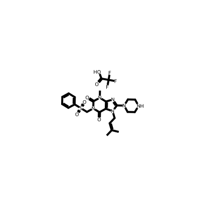 CC(C)=CCn1c(N2CCNCC2)nc2c1c(=O)n(CS(=O)(=O)c1ccccc1)c(=O)n2C.O=C(O)C(F)(F)F